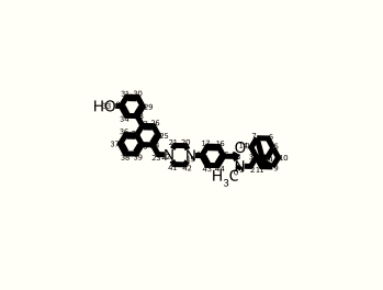 CN(CC12CC3CC(CC(C3)C1)C2)C(=O)c1ccc(N2CCN(Cc3ccc(-c4cccc(O)c4)c4ccccc34)CC2)cc1